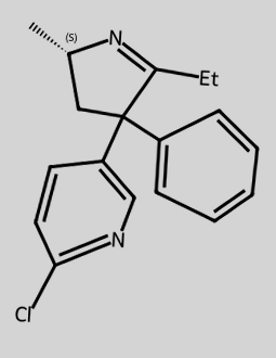 CCC1=N[C@@H](C)CC1(c1ccccc1)c1ccc(Cl)nc1